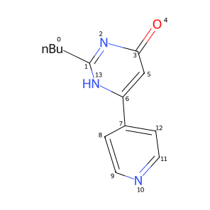 CCCCc1nc(=O)cc(-c2ccncc2)[nH]1